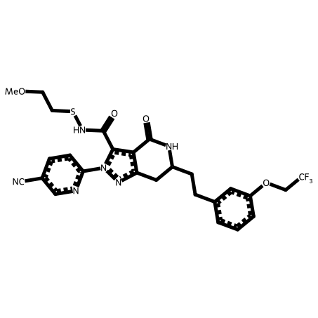 COCCSNC(=O)c1c2c(nn1-c1ccc(C#N)cn1)CC(CCc1cccc(OCC(F)(F)F)c1)NC2=O